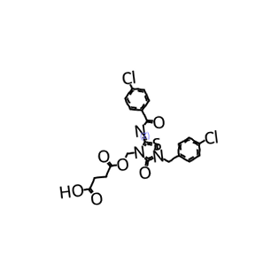 O=C(O)CCC(=O)OCn1c(=O)n(Cc2ccc(Cl)cc2)s/c1=N\C(=O)c1ccc(Cl)cc1